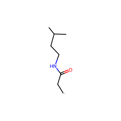 [CH2]CC(=O)NCCC(C)C